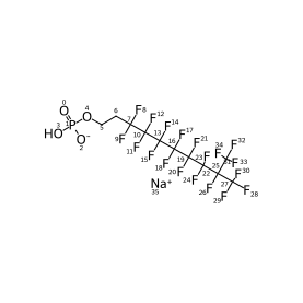 O=P([O-])(O)OCCC(F)(F)C(F)(F)C(F)(F)C(F)(F)C(F)(F)C(F)(F)C(F)(C(F)(F)F)C(F)(F)F.[Na+]